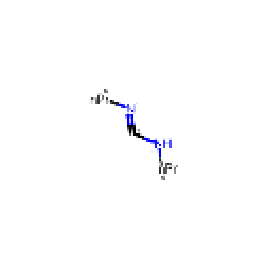 CCC/N=C/NCCC